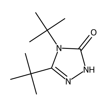 CC(C)(C)c1n[nH]c(=O)n1C(C)(C)C